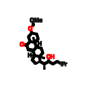 COCOC1CC[C@@]2(C)C(C1)C(=O)C=C1[C@@H]3CC[C@H]([C@H](C)C(O)CCC(C)C)[C@@]3(C)CC[C@@H]12